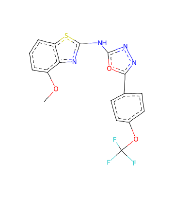 COc1cccc2sc(Nc3nnc(-c4ccc(OC(F)(F)F)cc4)o3)nc12